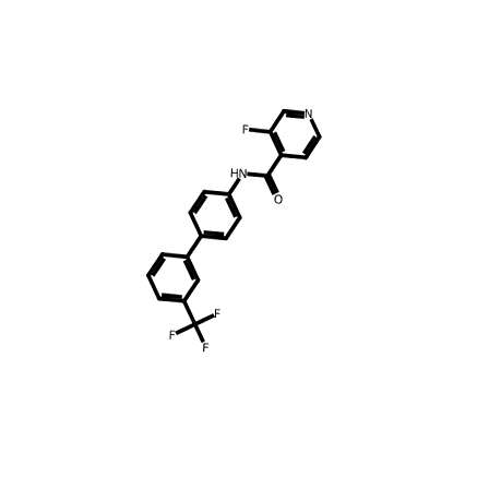 O=C(Nc1ccc(-c2cccc(C(F)(F)F)c2)cc1)c1ccncc1F